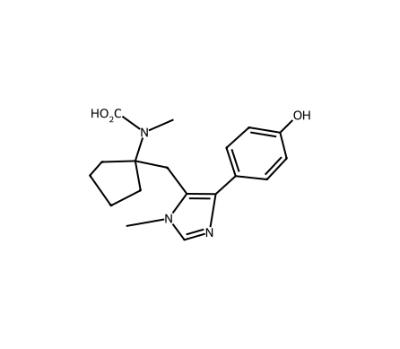 CN(C(=O)O)C1(Cc2c(-c3ccc(O)cc3)ncn2C)CCCC1